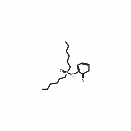 CCCCCCP(=O)(CCCCCC)OC1=CC=CCC1=S